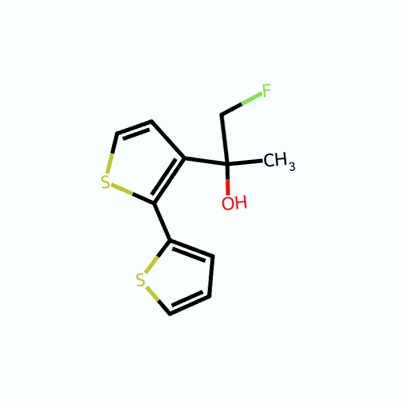 CC(O)(CF)c1ccsc1-c1cccs1